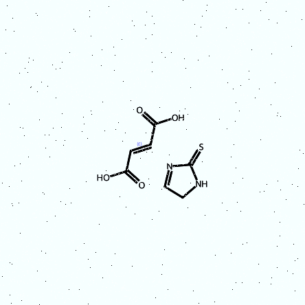 O=C(O)/C=C/C(=O)O.S=C1N=CCN1